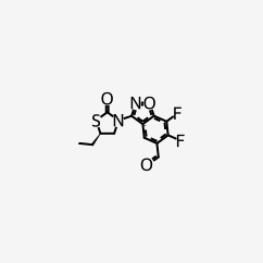 CC[C@@H]1CN(c2noc3c(F)c(F)c(C=O)cc23)C(=O)S1